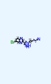 N#C/C=C/C1CC(N/C=C(\C=N)c2cnc3ccc(Br)cc3n2)C1